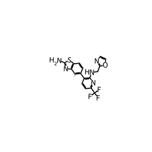 Nc1nc2[c]c(-c3ccc(C(F)(F)F)nc3NCc3ncco3)ccc2s1